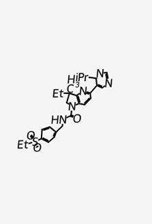 CCC1(C)CN(C(=O)NCc2ccc(S(=O)(=O)CC)cc2)c2ccc(-c3cncnc3C(C)C)nc21